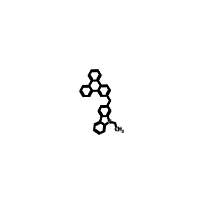 CCn1c2ccccc2c2ccc(Cc3ccc4c5ccccc5c5ccccc5c4c3)cc21